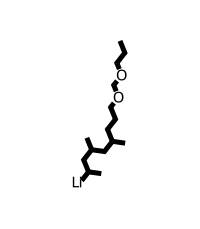 [Li][CH](C)CC(C)CC(C)CCCOCOCCC